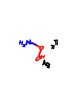 NOO.[Ag].[Ti].[Ti]